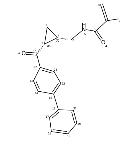 C=C(C)C(=O)NC[C@H]1C[C@H]1C(=O)c1ccc(-c2ccccc2)cc1